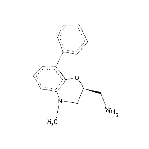 CN1C[C@H](CN)Oc2c(-c3ccccc3)cccc21